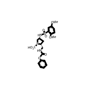 COc1ccc(OC)c(S(=O)(=O)N[C@@H]2C[C@H](CNC(=O)Oc3ccccc3)N(C(=O)O)C2)c1